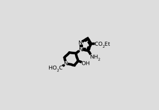 CCOC(=O)c1cnn(C2CCN(C(=O)O)CC2O)c1N